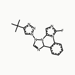 CC(C)(C)c1cn(N2C=NC3c4ccccc4-n4c(cnc4F)N32)nn1